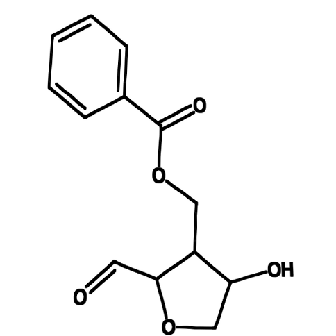 O=CC1OCC(O)C1COC(=O)c1ccccc1